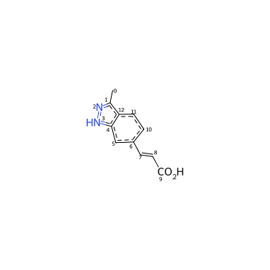 Cc1n[nH]c2cc(/C=C/C(=O)O)ccc12